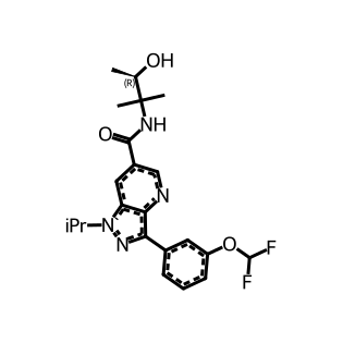 CC(C)n1nc(-c2cccc(OC(F)F)c2)c2ncc(C(=O)NC(C)(C)[C@@H](C)O)cc21